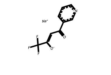 O=C(/C=C(\[O-])C(F)(F)F)c1cccnc1.[Na+]